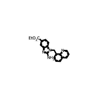 CCOC(=O)c1ccc2c(c1)nc(N)n2Cc1cccc2cccnc12